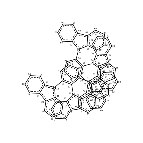 c1cc(-c2nc3ccccc3n2-c2c(-n3c4ccccc4c4ccccc43)cccc2-n2c3ccccc3c3ccccc32)cc(-c2nc3ccccc3n2-c2c(-n3c4ccccc4c4ccccc43)cccc2-n2c3ccccc3c3ccccc32)c1